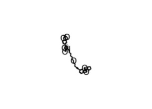 CC1(C)OCc2cc([C@@H]3CN(CCCCCCOCCCC#Cc4cccc(S(=O)(=O)C5CCCC5)c4)C(=O)O3)ccc2O1